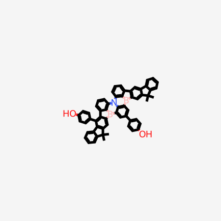 CC1(C)c2ccccc2-c2cc3c(cc21)B1c2cc(-c4ccc(O)cc4)cc4c2N(c2cccc-3c21)c1cccc2c1B4c1cc3c(c(-c4ccc(O)cc4)c1-2)-c1ccccc1C3(C)C